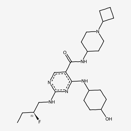 CC[C@H](F)CNc1ncc(C(=O)NC2CCN(C3CCC3)CC2)c(NC2CCC(O)CC2)n1